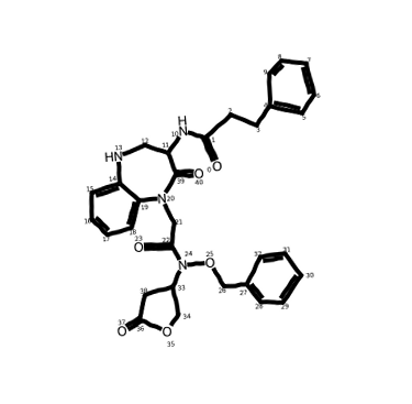 O=C(CCc1ccccc1)NC1CNc2ccccc2N(CC(=O)N(OCc2ccccc2)C2COC(=O)C2)C1=O